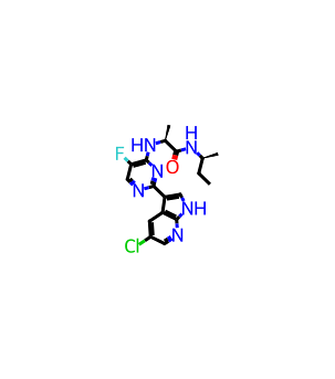 CC[C@H](C)NC(=O)[C@H](C)Nc1nc(-c2c[nH]c3ncc(Cl)cc23)ncc1F